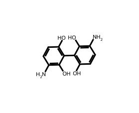 Nc1ccc(O)c(-c2c(O)ccc(N)c2O)c1O